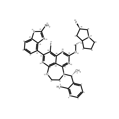 C[C@H](c1cccnc1N)N1CCOc2nc(-c3cccc4sc(N)nc34)c(F)c3nc(OC[C@@]45CCCN4C[C@H](F)C5)nc1c23